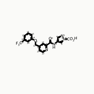 O=C(Nc1cnn(C(=O)O)c1)c1cc(COc2cccc(C(F)(F)F)c2)ccn1